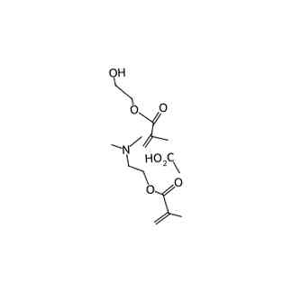 C=C(C)C(=O)OCCN(C)C.C=C(C)C(=O)OCCO.CC(=O)O